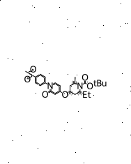 CC[C@@H]1C[C@H](Oc2ccn(-c3ccc(S(C)(=O)=O)cc3)c(=O)c2)C[C@@H](C)N1C(=O)OC(C)(C)C